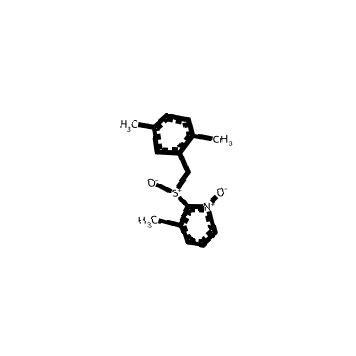 Cc1ccc(C)c(C[S+]([O-])c2c(C)ccc[n+]2[O-])c1